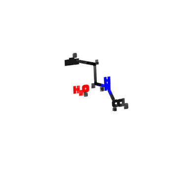 CCCCCCNC(Cl)(Cl)Cl.O